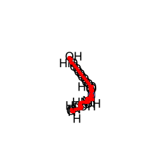 CN(Cc1cccc2nc(C(=O)NCCc3ccc(O)c(-c4cc(CCNC(=O)c5ccc6nonc6c5)ccc4O)c3)c(O)nc12)c1ccc(/N=N/c2ccc(S(=O)(=O)C(=O)NCCOCCOCCOCCOCCOCCOCCOCCOCCC(=O)NCCc3ccc(O)cc3)cc2)cc1